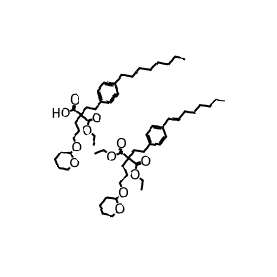 CCCCCCCCc1ccc(CCC(CCCOC2CCCCO2)(C(=O)O)C(=O)OCC)cc1.CCCCCCCCc1ccc(CCC(CCCOC2CCCCO2)(C(=O)OCC)C(=O)OCC)cc1